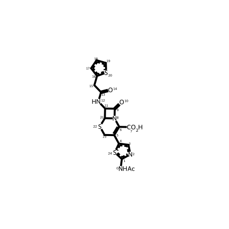 CC(=O)Nc1ncc(C2=C(C(=O)O)N3C(=O)C(NC(=O)Cc4cccs4)C3SC2)s1